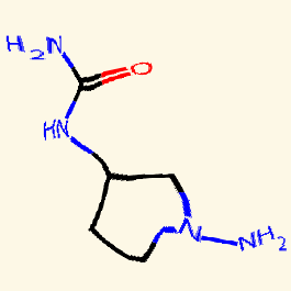 NC(=O)NC1CCN(N)C1